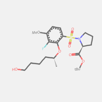 COc1ccc(S(=O)(=O)N2CCC[C@H]2C(=O)OC(C)(C)C)c(O[C@H](C)CCCCO)c1F